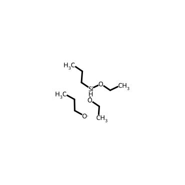 CCC[O].CCC[SiH](OCC)OCC